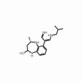 CC(C)CN/C=C(\C=N)c1cccc2c1N[C@H](C)CC(O)N2